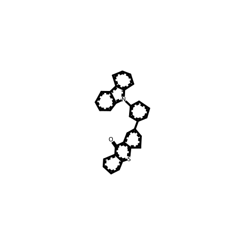 O=c1c2ccccc2sc2ccc(-c3cccc(-n4c5ccccc5c5ccccc54)c3)cc12